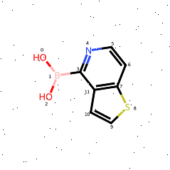 OB(O)c1nccc2sccc12